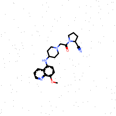 COc1ccc(NC2CCN(CC(=O)N3CCCC3C#N)CC2)c2cccnc12